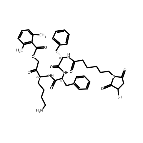 Cc1cccc(C)c1C(=O)OCC(=O)[C@H](CCCCN)NC(=O)[C@H](Cc1ccccc1)NC(=O)[C@H](Cc1ccccc1)NC(=O)CCCCCN1C(=O)CC(S)C1=O